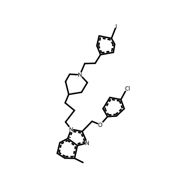 Cc1cccc2c1nc(COc1ccc(Cl)cc1)n2CCCC1CCN(CCc2ccc(I)cc2)CC1